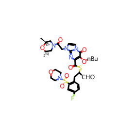 CCCCOc1c(C(=O)SC(C=O)Cc2ccc(F)cc2S(=O)(=O)N2CCOCC2)nc2n(CC(=O)N3C[C@H](C)O[C@@H](C)C3)ccn2c1=O